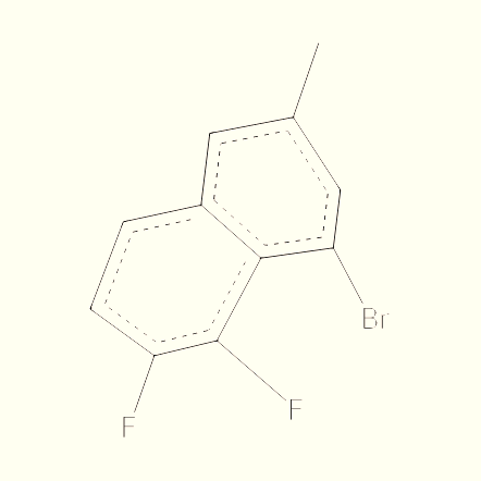 Cc1cc(Br)c2c(F)c(F)ccc2c1